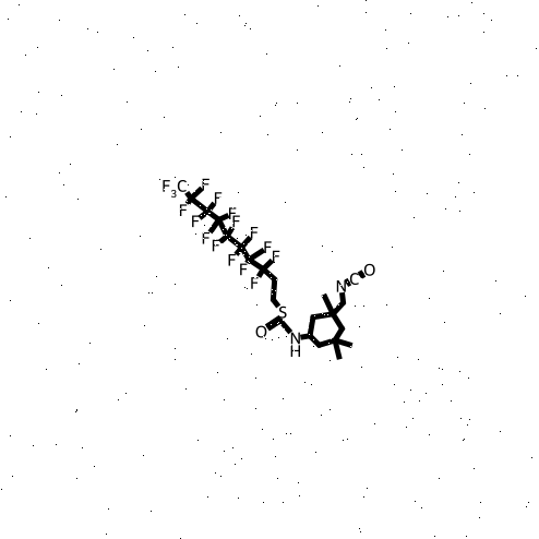 CC1(C)CC(NC(=O)SCCC(F)(F)C(F)(F)C(F)(F)C(F)(F)C(F)(F)C(F)(F)C(F)(F)C(F)(F)F)CC(C)(CN=C=O)C1